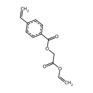 C=COC(=O)COC(=O)c1ccc(C=C)cc1